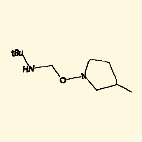 CC1CCN(OCNC(C)(C)C)C1